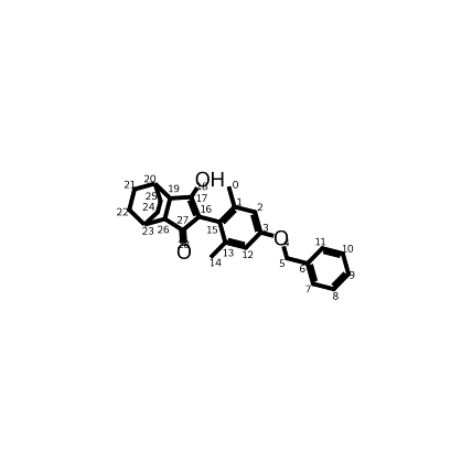 Cc1cc(OCc2ccccc2)cc(C)c1C1=C(O)C2C3CCC(CC3)C2C1=O